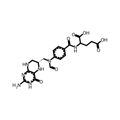 Nc1nc2c(c(=O)[nH]1)N[C@@H](CN(C=O)c1ccc(C(=O)NC(CCC(=O)O)C(=O)O)cc1)CN2